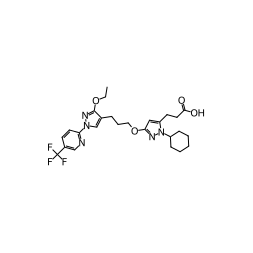 CCOc1nn(-c2ccc(C(F)(F)F)cn2)cc1CCCOc1cc(CCC(=O)O)n(C2CCCCC2)n1